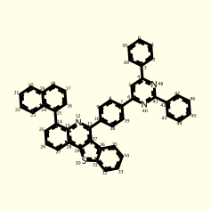 c1ccc(-c2cc(-c3ccc(-c4nc5c(-c6cccc7ccccc67)cccc5c5sc6ccccc6c45)cc3)nc(-c3ccccc3)n2)cc1